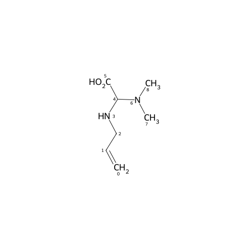 C=CCNC(C(=O)O)N(C)C